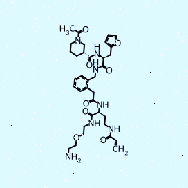 C=CC(=O)NCC[C@H](NC(=O)Cc1ccccc1CNC(=O)[C@H](Cc1ccco1)NC(=O)[C@@H]1CCCN(C(C)=O)C1)C(=O)NCCOCCN